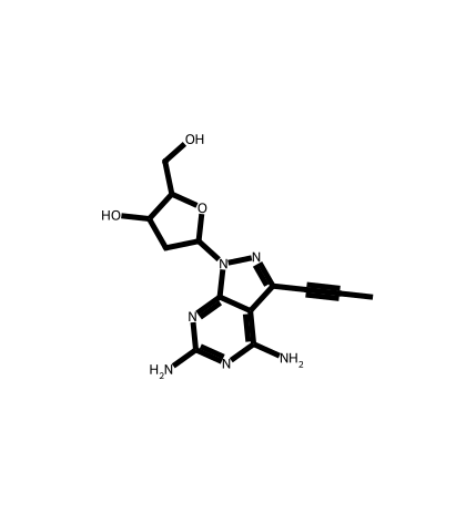 CC#Cc1nn(C2CC(O)C(CO)O2)c2nc(N)nc(N)c12